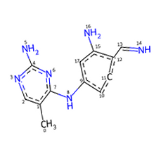 Cc1cnc(N)nc1Nc1ccc(C=N)c(N)c1